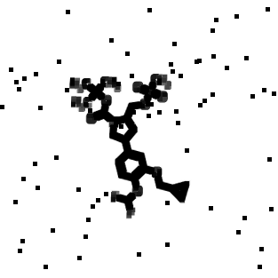 CC(C)(C)OC(=O)N1CC(c2ccc(OC(F)F)c(OCC3CC3)c2)CC1COS(C)(=O)=O